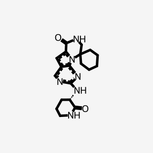 O=C1NCC2(CCCCC2)n2c1cc1cnc(N[C@H]3CCCNC3=O)nc12